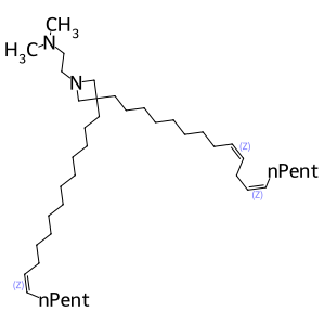 CCCCC/C=C\C/C=C\CCCCCCCCC1(CCCCCCCCCCC/C=C\CCCCC)CN(CCN(C)C)C1